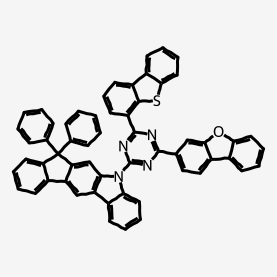 c1ccc(C2(c3ccccc3)c3ccccc3-c3cc4c5ccccc5n(-c5nc(-c6ccc7c(c6)oc6ccccc67)nc(-c6cccc7c6sc6ccccc67)n5)c4cc32)cc1